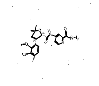 COc1c([C@@H]2CC(C)(C)O[C@@H]2C(=O)Nc2ccnc(C(N)=O)c2)ccc(F)c1Cl